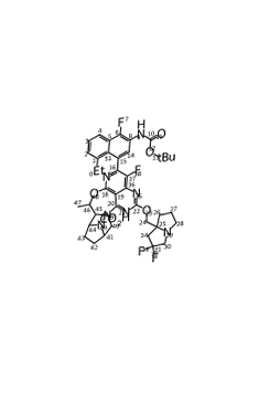 CCc1cccc2c(F)c(NC(=O)OC(C)(C)C)cc(-c3nc4c5c(nc(OCC67CCCN6CC(F)(F)C7)nc5c3F)N3CC5CCC(C3C(C)O4)N5C(=O)O)c12